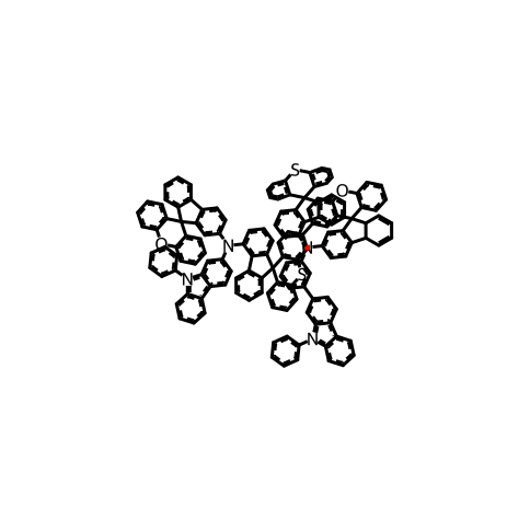 C1=CC2c3ccc(N(c4cccc(-c5ccc6c7ccccc7n(-c7ccccc7)c6c5)c4)c4cccc5c4-c4ccccc4C54c5ccccc5Sc5ccccc54)cc3C3(c4ccccc4Oc4ccc(-c5ccc6c(c5)Sc5ccccc5C65c6ccccc6-c6c(N(c7ccc8c(c7)C7(c9ccccc9Oc9ccccc97)c7ccccc7-8)c7ccc8c9ccccc9n(-c9ccccc9)c8c7)cccc65)cc43)C2C=C1